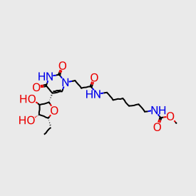 CC[C@H]1O[C@@H](c2cn(CCC(=O)NCCCCCCNC(=O)OC)c(=O)[nH]c2=O)C(O)[C@H]1O